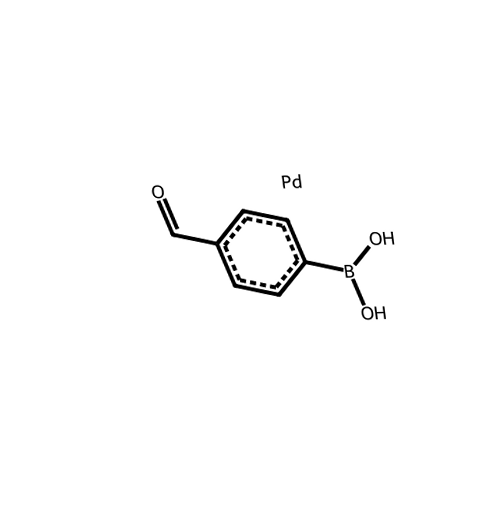 O=Cc1ccc(B(O)O)cc1.[Pd]